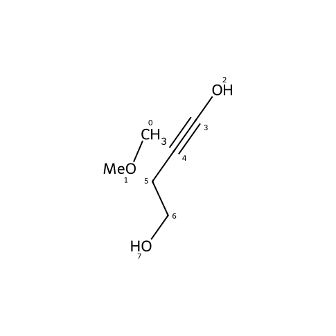 COC.OC#CCCO